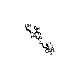 C[Si](C)(C)CCOC(=O)N[C@@H](CCCO)C(=O)O